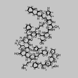 CC(C)C[C@H](NC(=O)[C@H](CC(=O)O)NC(=O)[C@H](CCCCN)NC(=O)CNC(=O)[C@H](Cc1c[nH]cn1)NC(=O)[C@@H]1CCCN1C(=O)[C@H](CO)NC(=O)[C@H](CO)NC(=O)[C@@H](N)Cc1ccccc1)C(=O)N[C@@H](CC(C)C)C(=O)N[C@@H](Cc1ccccc1)C(=O)N[C@@H](CCCCN)C(=O)N[C@@H](CC(=O)O)C(=O)N[C@@H](CO)C(=O)N[C@@H](C)C(=O)N[C@@H](Cc1c[nH]cn1)C(=O)NCC(=O)N[C@@H](Cc1ccccc1)C(=O)O